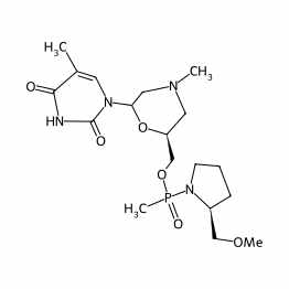 COC[C@@H]1CCCN1P(C)(=O)OC[C@@H]1CN(C)CC(n2cc(C)c(=O)[nH]c2=O)O1